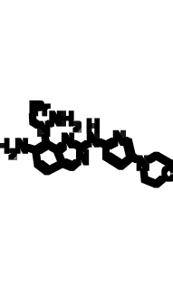 CC(C)CN(N)c1c(N)ccc2cnc(Nc3ccc(N4CCOCC4)cn3)nc12